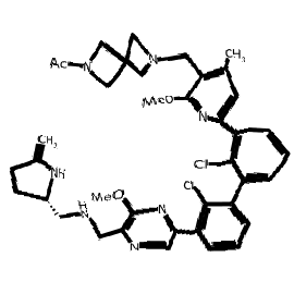 C=C1CC[C@@H](CNCc2ncc(-c3cccc(-c4cccc(-c5cc(C)c(CN6CC7(C6)CN(C(C)=O)C7)c(OC)n5)c4Cl)c3Cl)nc2OC)N1